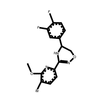 COc1nc(C2=NOCC(c3ccc(F)c(F)c3)N2)ccc1Br